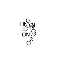 Cc1cc2[nH]c(=O)c3cnn(C4CCOCC4)c3c2cc1C(=O)N1CCC(Oc2ccccc2)C1